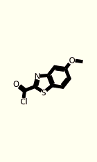 COc1ccc2sc(C(=O)Cl)nc2c1